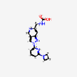 O=C(O)NCc1cc2nn(-c3cccc(N4CCC4)n3)cc2cn1